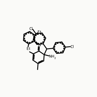 CCc1cccc(CC)c1N=C1C(C)=CC(C)=CC1(N)C(c1ccc(Cl)cc1)c1ccc(Cl)cc1